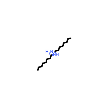 CCCCCCCCNCCCCCCCC.N